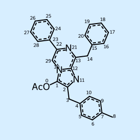 CC(=O)Oc1c(Cc2ccc(C)cc2)nc2c(Cc3ccccc3)nc(-c3ccccc3)cn12